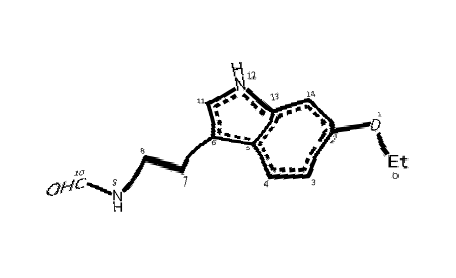 CCOc1ccc2c(CCNC=O)c[nH]c2c1